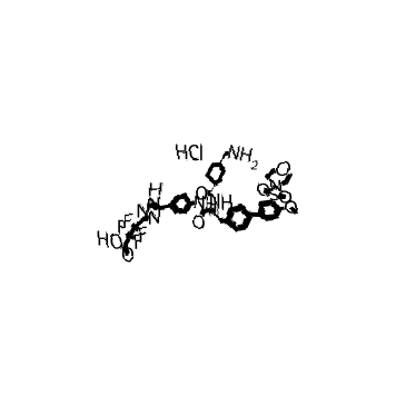 COc1ccc(-c2ccc(C[C@H](NC(=O)[C@H]3CC[C@H](CN)CC3)C(=O)Nc3ccc(-c4nc(C(F)(F)C(F)(F)C(=O)O)n[nH]4)cc3)cc2)cc1S(=O)(=O)N1CCOCC1.Cl